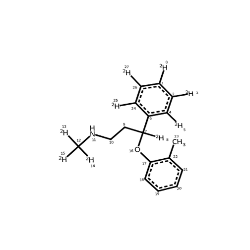 [2H]c1c([2H])c([2H])c(C([2H])(CCNC([2H])([2H])[2H])Oc2ccccc2C)c([2H])c1[2H]